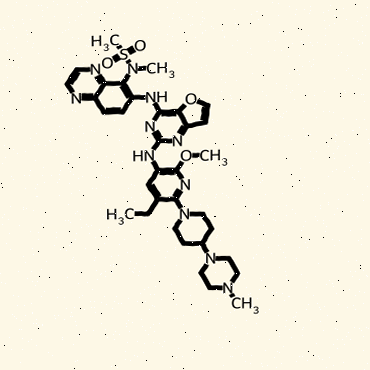 CCc1cc(Nc2nc(Nc3ccc4nccnc4c3N(C)S(C)(=O)=O)c3occc3n2)c(OC)nc1N1CCC(N2CCN(C)CC2)CC1